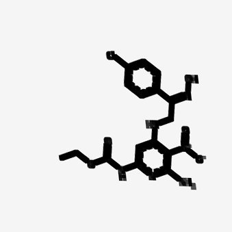 CCOC(=O)Nc1cc(NC/C(=N/O)c2ccc(Cl)cc2)c([N+](=O)[O-])c(N)n1